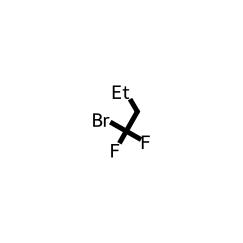 [CH2]CCC(F)(F)Br